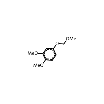 COCOc1ccc(OC)c(OC)c1